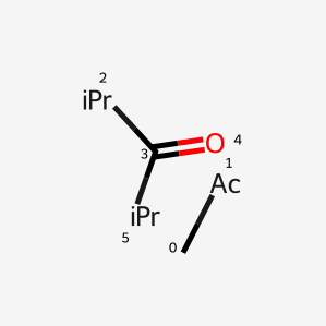 CC(C)=O.CC(C)C(=O)C(C)C